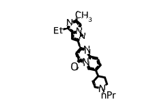 CCCN1CCC(c2ccc3nc(-c4cc5c(CC)nc(C)cn5n4)cc(=O)n3c2)CC1